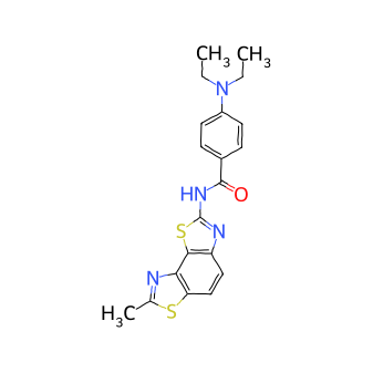 CCN(CC)c1ccc(C(=O)Nc2nc3ccc4sc(C)nc4c3s2)cc1